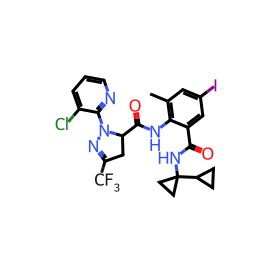 Cc1cc(I)cc(C(=O)NC2(C3CC3)CC2)c1NC(=O)C1CC(C(F)(F)F)=NN1c1ncccc1Cl